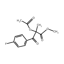 COC(=O)C(C)(OC(C)=O)C(=O)c1ccc(F)cc1